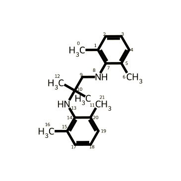 Cc1cccc(C)c1NCC(C)(C)Nc1c(C)cccc1C